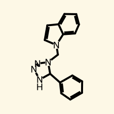 c1ccc(C2NN=NN2Cn2ccc3ccccc32)cc1